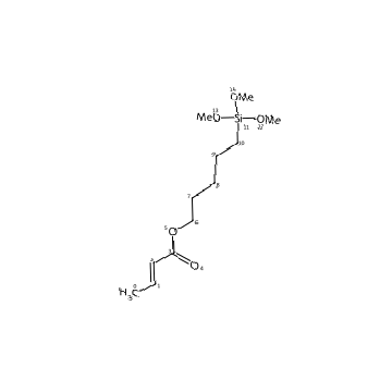 CC=CC(=O)OCCCCC[Si](OC)(OC)OC